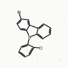 Clc1ccccc1-n1c2ccccc2c2cc(Br)ccc21